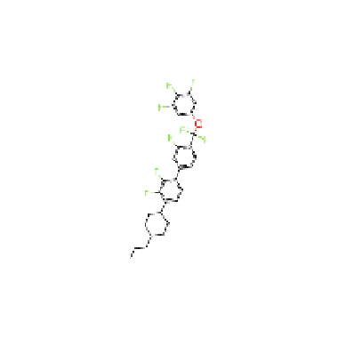 CCCC1CCC(c2ccc(-c3ccc(C(F)(F)Oc4cc(F)c(F)c(F)c4)c(F)c3)c(F)c2F)CC1